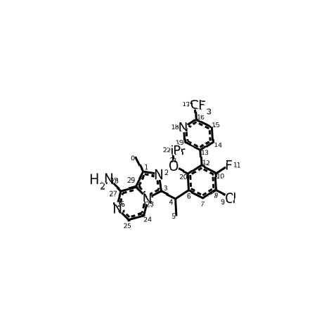 Cc1nc(C(C)c2cc(Cl)c(F)c(-c3ccc(C(F)(F)F)nc3)c2OC(C)C)n2ccnc(N)c12